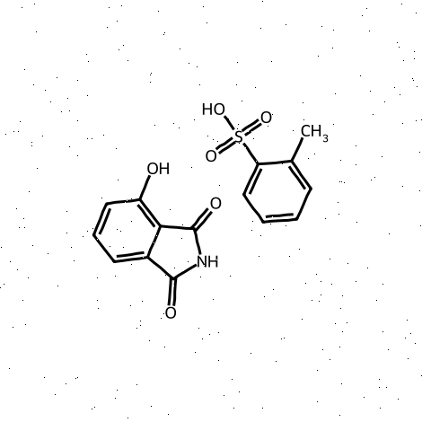 Cc1ccccc1S(=O)(=O)O.O=C1NC(=O)c2c(O)cccc21